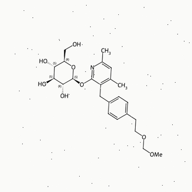 COCOCCc1ccc(Cc2c(C)cc(C)nc2O[C@@H]2O[C@H](CO)[C@@H](O)[C@H](O)[C@H]2O)cc1